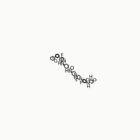 O=C1CCC(Nc2ccc(N3CCC(N4CCC(NC(=O)[C@H]5CC[C@H](Nc6ncc(F)c(-c7cccc(N8CCCCC8=O)c7)n6)CC5)CC4)C(F)(F)C3)c(F)c2)C(=O)N1